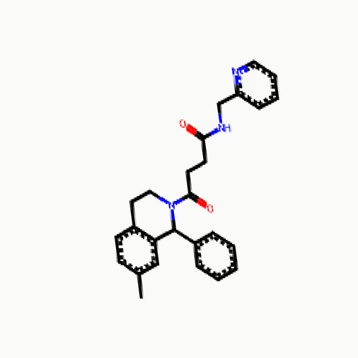 Cc1ccc2c(c1)C(c1ccccc1)N(C(=O)CCC(=O)NCc1ccccn1)CC2